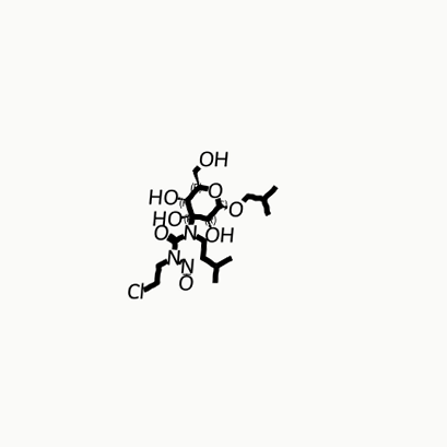 CC(C)CCN(C(=O)N(CCCl)N=O)[C@@]1(O)[C@H](O)[C@@H](CO)O[C@H](OCC(C)C)[C@@H]1O